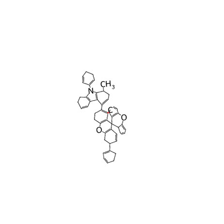 CC1CC=C(C2=CC3=C(CC2)OC2=C(C=CC(C4=CC=CCC4)C2)C32C3=C(C=CCC3)OC3=CC=CCC32)c2c3c(n(C4=CCCC=C4)c21)CCC=C3